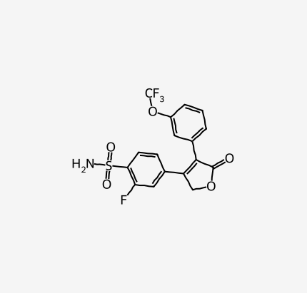 NS(=O)(=O)c1ccc(C2=C(c3cccc(OC(F)(F)F)c3)C(=O)OC2)cc1F